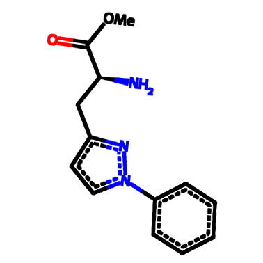 COC(=O)[C@@H](N)Cc1ccn(-c2ccccc2)n1